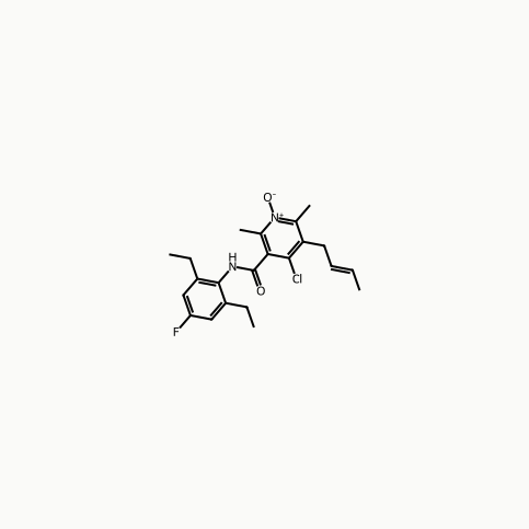 CC=CCc1c(Cl)c(C(=O)Nc2c(CC)cc(F)cc2CC)c(C)[n+]([O-])c1C